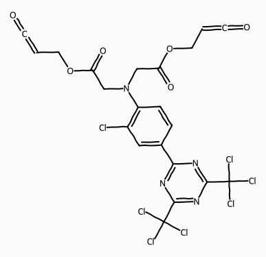 O=C=CCOC(=O)CN(CC(=O)OCC=C=O)c1ccc(-c2nc(C(Cl)(Cl)Cl)nc(C(Cl)(Cl)Cl)n2)cc1Cl